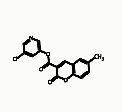 Cc1ccc2oc(=O)c(C(=O)Oc3cncc(Cl)c3)cc2c1